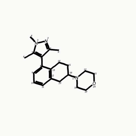 Cc1nn(C)c(C)c1-c1cccc2c1CCC(N1CCOCC1)C2